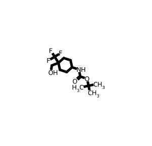 CC(C)(C)OC(=O)NC1CCC(CO)(C(F)(F)F)CC1